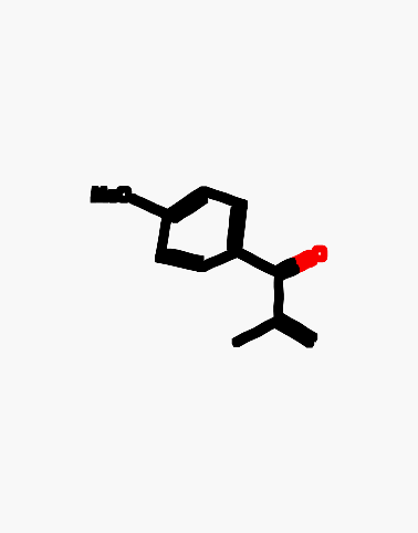 C=C(C)C(=O)c1ccc(OC)cc1